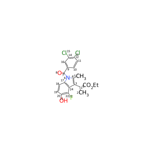 CCOC(=O)[C@H](C)c1c(C)n(C(=O)c2ccc(Cl)c(Cl)c2)c2ccc(O)c(F)c12